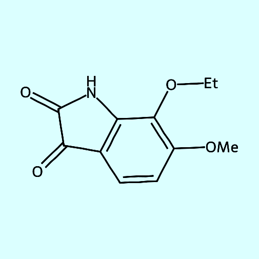 CCOc1c(OC)ccc2c1NC(=O)C2=O